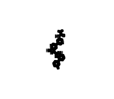 Cc1cccc(-c2cccc3[nH]c(-c4n[nH]c5ncc(-c6cncc(NC(=O)C(C)C)c6)cc45)nc23)c1